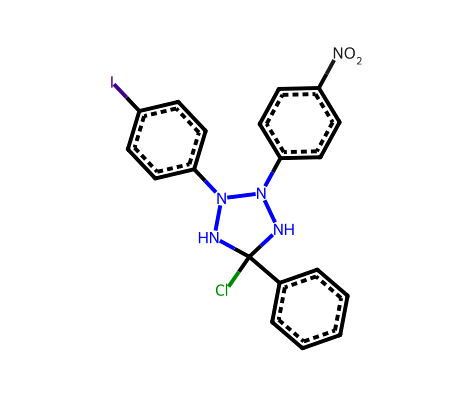 O=[N+]([O-])c1ccc(N2NC(Cl)(c3ccccc3)NN2c2ccc(I)cc2)cc1